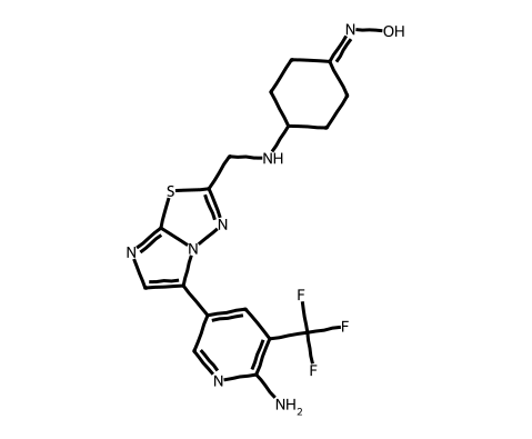 Nc1ncc(-c2cnc3sc(CNC4CCC(=NO)CC4)nn23)cc1C(F)(F)F